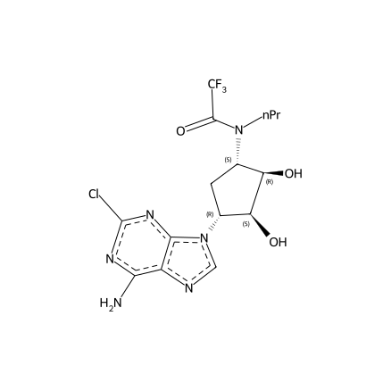 CCCN(C(=O)C(F)(F)F)[C@H]1C[C@@H](n2cnc3c(N)nc(Cl)nc32)[C@H](O)[C@@H]1O